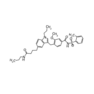 CCCNC(=O)CCCc1ccc2c(c1)c(Cc1ccc(C(=O)NS(=O)(=O)c3ccccc3C)cc1OC)cn2CCC